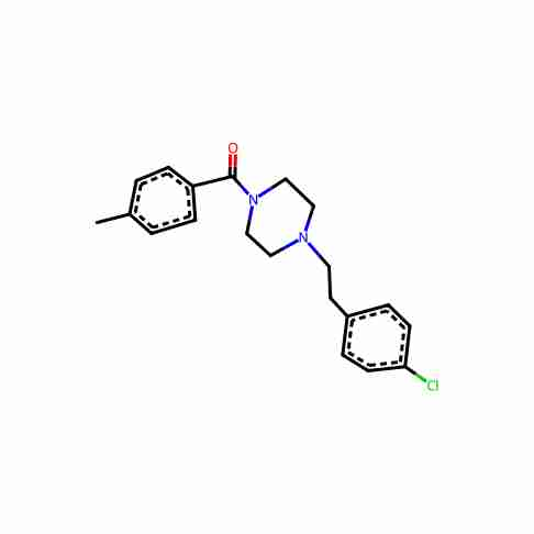 Cc1ccc(C(=O)N2CCN(CCc3ccc(Cl)cc3)CC2)cc1